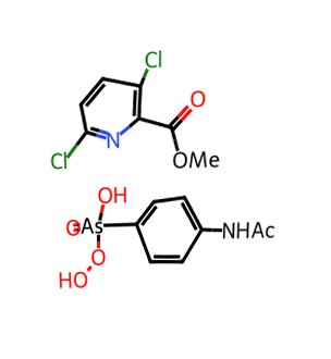 CC(=O)Nc1ccc([As](=O)(O)OO)cc1.COC(=O)c1nc(Cl)ccc1Cl